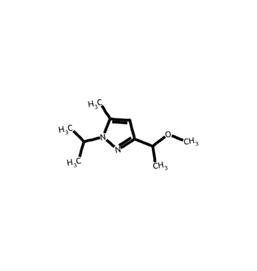 COC(C)c1cc(C)n(C(C)C)n1